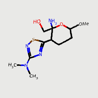 COC1CCC(c2nc(N(C)C)ns2)C(N)(CO)O1